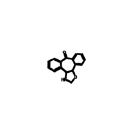 O=C1c2ccccc2C2NCOC2c2ccccc21